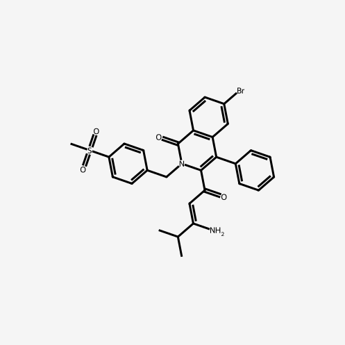 CC(C)C(N)=CC(=O)c1c(-c2ccccc2)c2cc(Br)ccc2c(=O)n1Cc1ccc(S(C)(=O)=O)cc1